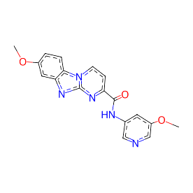 COc1cncc(NC(=O)c2ccn3c(n2)nc2cc(OC)ccc23)c1